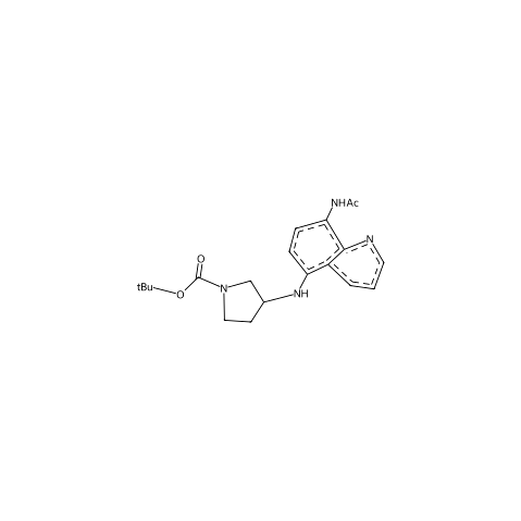 CC(=O)Nc1ccc(NC2CCN(C(=O)OC(C)(C)C)C2)c2cccnc12